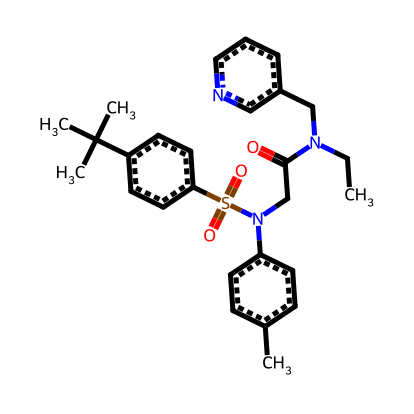 CCN(Cc1cccnc1)C(=O)CN(c1ccc(C)cc1)S(=O)(=O)c1ccc(C(C)(C)C)cc1